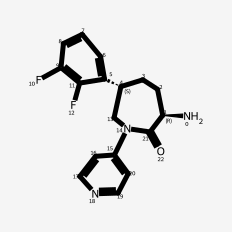 N[C@@H]1CC[C@@H](c2cccc(F)c2F)CN(c2ccncc2)C1=O